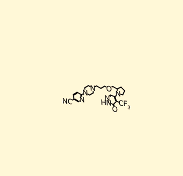 N#Cc1ccc(N2CCN(CCCOCC3CCCN3c3cn[nH]c(=O)c3C(F)(F)F)CC2)nc1